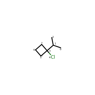 CC(C)C1(Cl)[CH]CC1